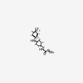 CC(C)(C)OC(=O)NCC1CCC(Nc2ccc(C(F)(F)F)cc2)CC1